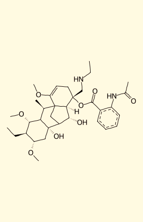 CCNC[C@]1(OC(=O)c2ccccc2NC(C)=O)CC=C(OC)C23CC([C@@H](O)[C@@H]21)[C@@]1(O)C[C@H](OC)[C@@H](CC)[C@H](OC)C1[C@H]3C